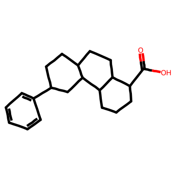 O=C(O)C1CCCC2C3CC(c4ccccc4)CCC3CCC12